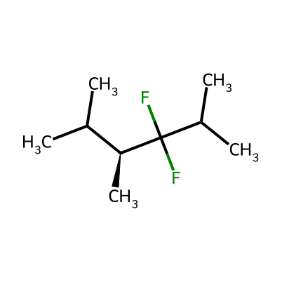 CC(C)[C@H](C)C(F)(F)C(C)C